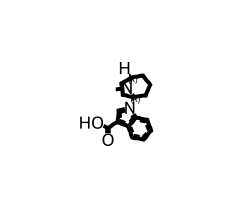 CN1[C@@H]2CCC[C@@]1(n1cc(C(=O)O)c3ccccc31)CC2